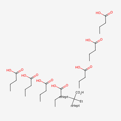 CCCC(=O)O.CCCC(=O)O.CCCC(=O)O.CCCC(=O)O.CCCC(=O)O.CCCC(=O)O.CCCC(=O)O.CCCCCCCC(CC)(CCCCCCC)C(=O)O